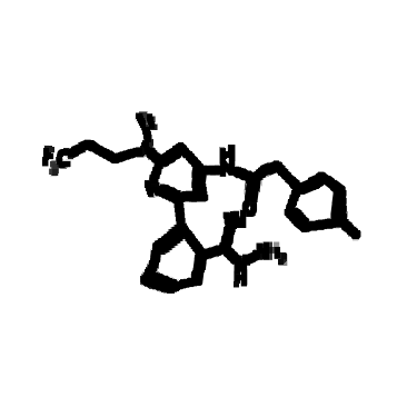 CCN(CCC(F)(F)F)c1cc(NC(=O)Cc2ccc(C)cc2)cc(-c2ccccc2C(=N)NN)n1